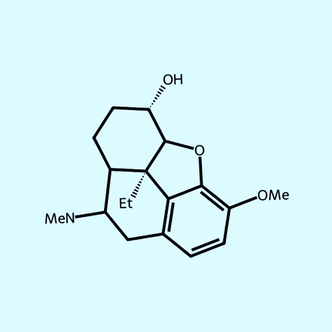 CC[C@@]12c3c4ccc(OC)c3OC1[C@@H](O)CCC2C(NC)C4